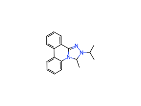 CC(C)N1N=C2c3ccccc3-c3ccccc3N2C1C